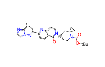 Cc1cc(-c2ccc3c(=O)n([C@H]4CCN(C(=O)OC(C)(C)C)C5(CC5)C4)ccc3n2)nn2ccnc12